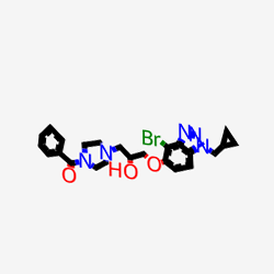 O=C(c1ccccc1)N1CCN(CC(O)COc2ccc3c(nnn3CC3CC3)c2Br)CC1